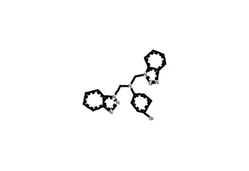 Brc1ccc(N(Cn2nnc3ccccc32)Cn2nnc3ccccc32)cc1